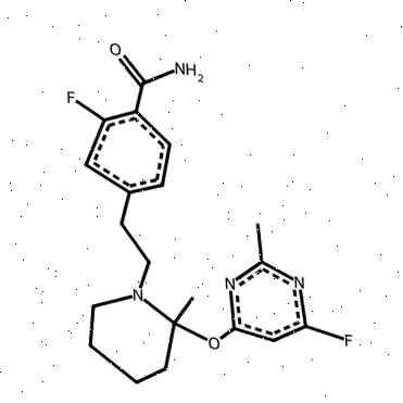 Cc1nc(F)cc(OC2(C)CCCCN2CCc2ccc(C(N)=O)c(F)c2)n1